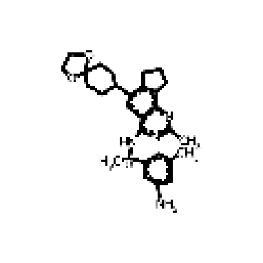 Cc1cc(N)cc([C@@H](C)Nc2nc(C)nc3c4c(c(C5CCC6(CC5)OCCO6)cc23)CCC4)c1